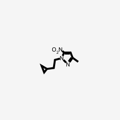 Cc1cc([N+](=O)[O-])n(CCC2CC2)n1